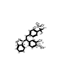 O=P([O-])([O-])C(F)(F)c1ccc(CC(c2cccc(C(F)(F)F)c2)n2nnc3ccccc32)cc1.[Na+].[Na+]